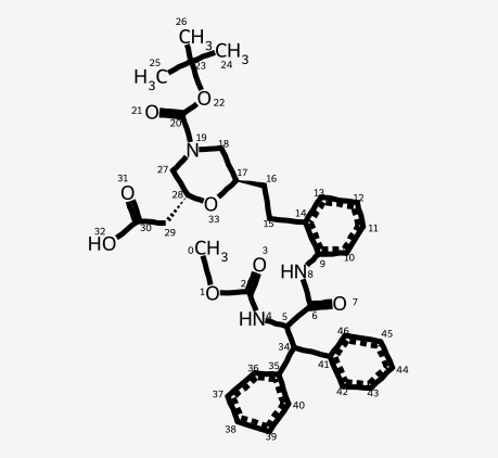 COC(=O)NC(C(=O)Nc1ccccc1CC[C@@H]1CN(C(=O)OC(C)(C)C)C[C@@H](CC(=O)O)O1)C(c1ccccc1)c1ccccc1